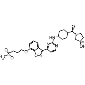 CS(=O)(=O)CCCOc1cccc2c(-c3ccnc(N[C@H]4CC[C@H](C(=O)N5CC[C@@H](O)C5)CC4)n3)noc12